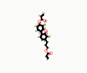 C=CC(=O)OCCCc1ccc2c(oc3c(F)c(OC(=O)C=C)ccc32)c1F